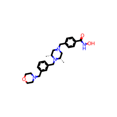 C[C@@H]1CN(Cc2ccc(C(=O)NO)cc2)C[C@H](C)N1Cc1cccc(CN2CCOCC2)c1